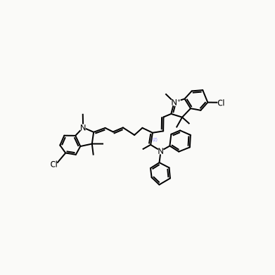 C/C(=C(/C=CC1=[N+](C)c2ccc(Cl)cc2C1(C)C)CCC=CC=C1N(C)c2ccc(Cl)cc2C1(C)C)N(c1ccccc1)c1ccccc1